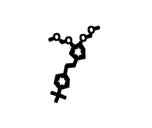 COCOc1ccc(C=Cc2ccc(C(C)(C)C)cc2)cc1OCOC